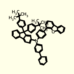 CC(C)(C)c1ccc(C2(c3ccc(C(C)(C)C)cc3)c3ccccc3-c3ccc(N(c4ccc(-c5ccccc5)cc4)c4ccc(-c5cccc6c5oc5ccccc56)cc4)cc32)cc1